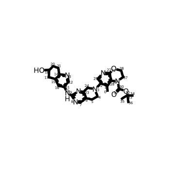 Cc1c(N2CCc3cnc(Nc4cnc5c(c4)CC(O)CC5)nc3C2)cnc2c1N(C(=O)OC(C)(C)C)CCO2